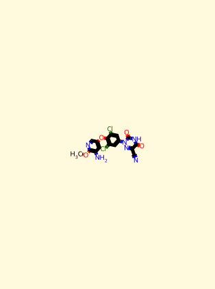 COc1ncc(Oc2c(Cl)cc(-n3nc(C#N)c(=O)[nH]c3=O)cc2Cl)cc1N